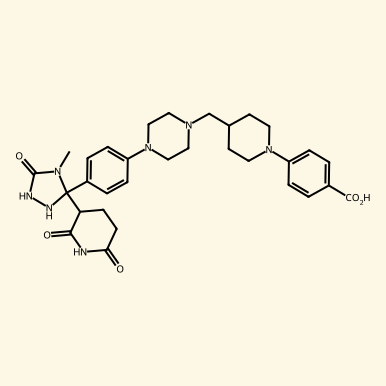 CN1C(=O)NNC1(c1ccc(N2CCN(CC3CCN(c4ccc(C(=O)O)cc4)CC3)CC2)cc1)C1CCC(=O)NC1=O